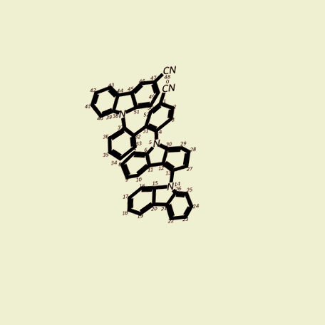 N#Cc1ccc(-n2c3ccccc3c3c(-n4c5ccccc5c5ccccc54)cccc32)c(-c2ccccc2-n2c3ccccc3c3cc(C#N)ccc32)c1